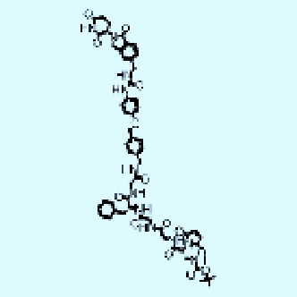 CC(C)(C)OC(=O)NC[C@H](C(=O)NCC(=O)NCC(=O)N[C@@H](Cc1ccccc1)C(=O)NCC(=O)NCc1ccc(COc2ccc(NC(=O)NCc3ccc4c(c3)CN(C3CCC(=O)NC3=O)C4=O)cc2)cc1)N1C(=O)C=CC1=O